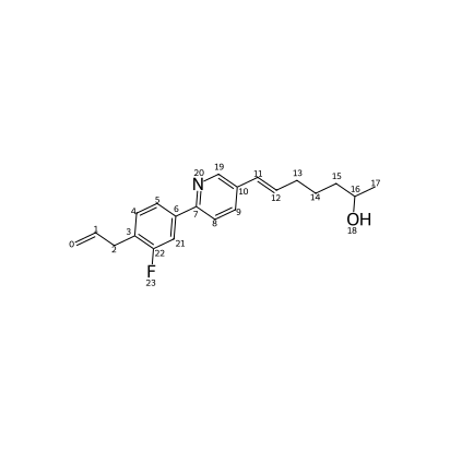 C=CCc1ccc(-c2ccc(C=CCCCC(C)O)cn2)cc1F